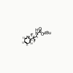 CC(C)(C)OC(=O)NCC(F)(F)c1ccccn1